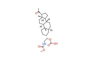 COC(=O)NCC(OC(=O)O)[C@@H]1CC[C@@]2(C)[C@@H](CC[C@@H]3[C@@H]2CC[C@]2(C)[C@@H](C(C)=O)CC[C@@H]32)C1